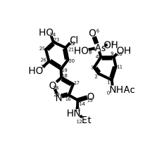 CC(=O)Nc1ccc([As](=O)(O)O)c(O)c1.CCNC(=O)c1cc(-c2cc(Cl)c(O)cc2O)on1